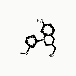 COc1cccc(N2CC(CO)Cc3ccc(N)cc32)c1